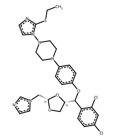 CCSc1nccn1N1CCN(c2ccc(OC(c3ccc(Cl)cc3Cl)[C@@H]3CO[C@H](Cn4ccnc4)O3)cc2)CC1